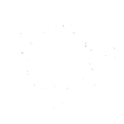 CSSC1NC(=O)[C@H](Cc2c[nH]c3ccccc23)NC(=O)NC(=O)[C@@H](Cc2ccccc2)NC(=O)[C@@H]2Cc3cn(cn3)C(C)C(NC(=O)CNC(=O)[C@H](Cc3c[nH]c4ccccc34)NC(=O)[C@H](CCCNC(=N)N)NC(=O)[C@@H](Cc3ccccc3)NC(=O)[C@H](Cc3c[nH]cn3)N/C(=C/C(C)C)NC1=O)C(=O)N2